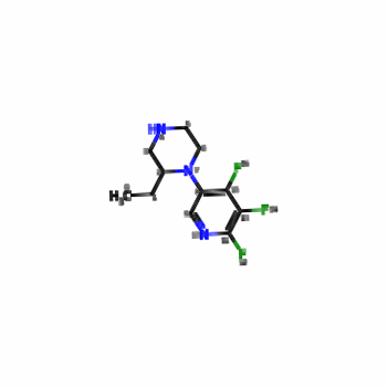 CCC1CNCCN1c1[c]nc(F)c(F)c1F